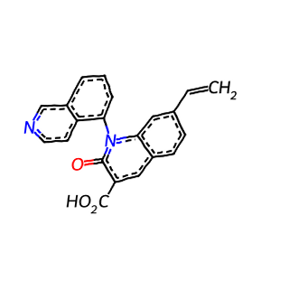 C=Cc1ccc2cc(C(=O)O)c(=O)n(-c3cccc4cnccc34)c2c1